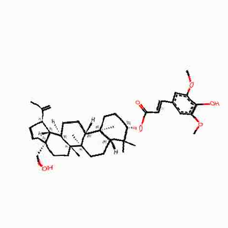 C=C(C)[C@@H]1CC[C@]2(CO)CC[C@]3(C)[C@H](CC[C@@H]4[C@@]5(C)CC[C@H](OC(=O)/C=C/c6cc(OC)c(O)c(OC)c6)C(C)(C)[C@@H]5CC[C@]43C)[C@@H]12